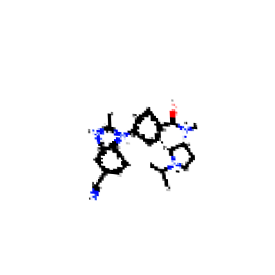 Cc1nc2cc(C#N)ccc2n1-c1ccc(C(=O)N(C)[C@@H]2CCN(C(C)C)C2)cc1